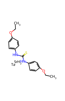 CCOc1ccc(NC(=S)Nc2ccc(OCC)cc2)cc1.[SrH2].[Ta]